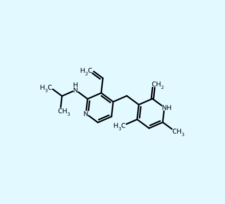 C=Cc1c(CC2=C(C)C=C(C)NC2=C)ccnc1NC(C)C